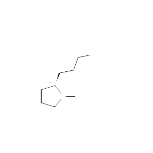 O=CCCC[C@@H]1CCCN1C(=O)O